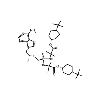 C[C@H](Cn1cnc2c(N)ncnc21)OCP(=O)(NC(C)(C)C(=O)O[C@H]1CC[C@H](C(C)(C)C)CC1)NC(C)(C)C(=O)O[C@H]1CC[C@H](C(C)(C)C)CC1